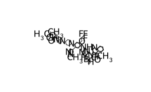 Cn1cc(-c2cc(Nc3ncc(Br)c(Nc4cnc5ccccc5c4P(C)(C)=O)n3)c(OCC(F)(F)F)cc2N2CCC(N3CCN(C(=O)OC(C)(C)C)CC3)CC2)cn1